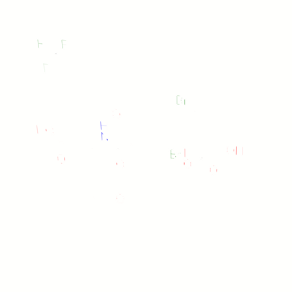 O=C(O)CC(NC(=O)c1cc(Br)ccc1OCc1ccc(C(F)(F)F)cc1)c1ccc(-c2ccccc2)c(Oc2ccccc2)c1.O=C(O)c1cc(Br)ccc1O